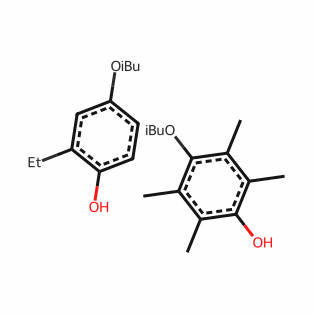 CCc1cc(OCC(C)C)ccc1O.Cc1c(C)c(OCC(C)C)c(C)c(C)c1O